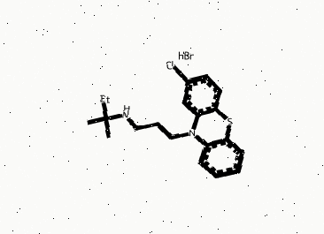 Br.CCC(C)(C)NCCCN1c2ccccc2Sc2ccc(Cl)cc21